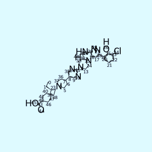 CC[C@H]1[C@H](N2CCC(c3cnc(N4CCN5c6cc(-c7cccc(Cl)c7O)nnc6NC[C@@H]5C4)nc3)CC2)CC12CCC(C(=O)O)CC2